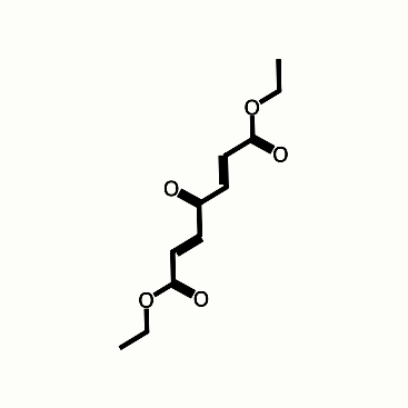 CCOC(=O)/C=C/C(=O)/C=C/C(=O)OCC